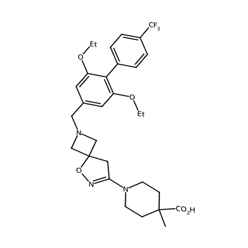 CCOc1cc(CN2CC3(CC(N4CCC(C)(C(=O)O)CC4)=NO3)C2)cc(OCC)c1-c1ccc(C(F)(F)F)cc1